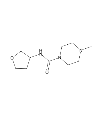 CN1CCN(C(=O)NC2CCOC2)CC1